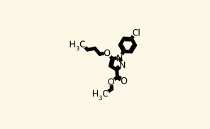 CCCCOc1cc(C(=O)OCC)nn1-c1ccc(Cl)cc1